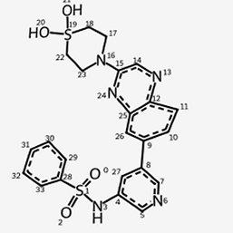 O=S(=O)(Nc1cncc(-c2ccc3ncc(N4CCS(O)(O)CC4)nc3c2)c1)c1ccccc1